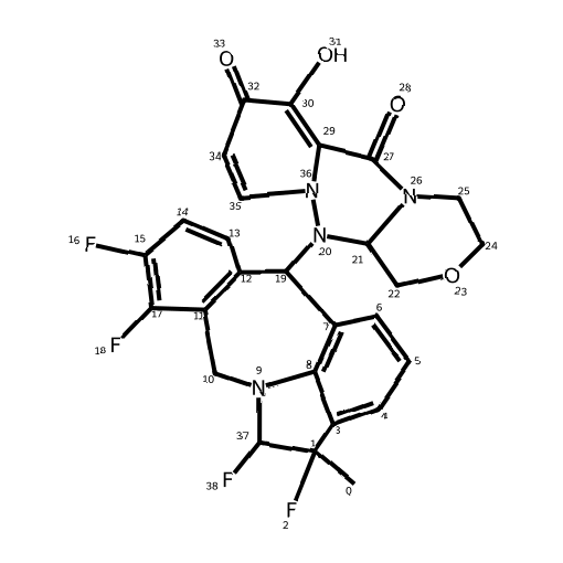 CC1(F)c2cccc3c2N(Cc2c(ccc(F)c2F)C3N2C3COCCN3C(=O)c3c(O)c(=O)ccn32)C1F